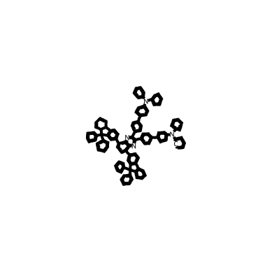 C1=CC2c3ccc(-c4ccc(-c5ccc6c(c5)C(c5ccccc5)(c5ccccc5)c5ccccc5-6)c5nc(-c6ccc(-c7ccc(N(c8ccccc8)c8ccccc8)cc7)cc6)c(-c6ccc(-c7ccc(N(c8ccccc8)c8ccccc8)cc7)cc6)nc45)cc3C(c3ccccc3)(c3ccccc3)C2C=C1